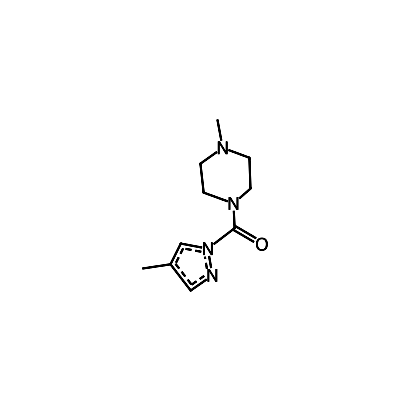 Cc1cnn(C(=O)N2CCN(C)CC2)c1